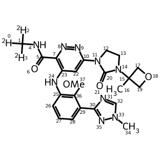 [2H]C([2H])([2H])NC(=O)c1nnc(N2CCN(C3(C)COC3)C2=O)cc1Nc1cccc(-c2ncn(C)n2)c1OC